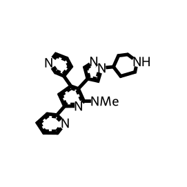 CNc1nc(-c2ccccn2)cc(-c2cccnc2)c1-c1cnn(C2CCNCC2)c1